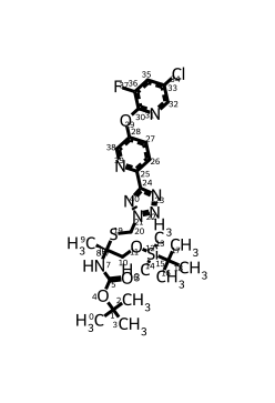 CC(C)(C)OC(=O)N[C@@](C)(CO[Si](C)(C)C(C)(C)C)SCn1nnc(-c2ccc(Oc3ncc(Cl)cc3F)cn2)n1